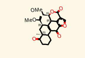 C=C(OC)[C@@H]1C[C@]2(C)C(=O)CCCC2C2=C1[C@]1(C)c3c(coc3C2=O)C(=O)O[C@@H]1COC